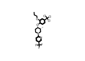 CCCOc1cc(C(Cl)(Cl)Cl)ccc1O[C@H]1CCN(c2ccc(C(F)(F)F)cn2)C[C@H]1C